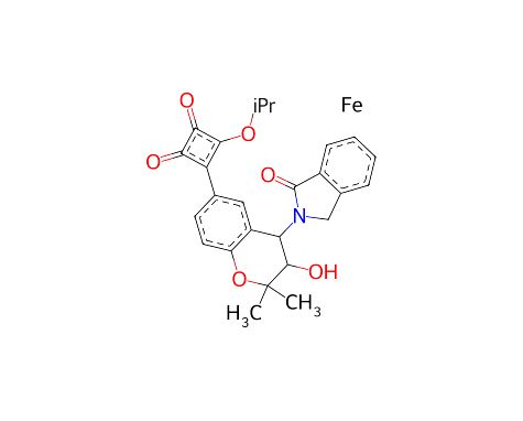 CC(C)Oc1c(-c2ccc3c(c2)C(N2Cc4ccccc4C2=O)C(O)C(C)(C)O3)c(=O)c1=O.[Fe]